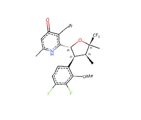 COc1c([C@H]2[C@H](c3[nH]c(C)cc(=O)c3C(C)C)O[C@@](C)(C(F)(F)F)[C@H]2C)ccc(F)c1F